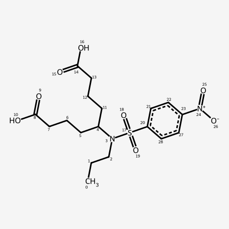 CCCN(C(CCCC(=O)O)CCCC(=O)O)S(=O)(=O)c1ccc([N+](=O)[O-])cc1